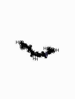 COc1cc(N=Nc2cc(OC)c(NC(=O)Nc3cc(C)c(N=Nc4cc(OC)c(/N=N/c5ccc6cc(S(=O)(=O)O)cc(S(=O)(=O)O)c6c5)cc4OC)cc3OC)cc2C)c(OC)cc1N=Nc1ccc2cc(S(=O)(=O)O)cc(S(=O)(=O)O)c2c1